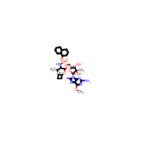 COc1nc(N)nc2c1nc(I)n2[C@@H]1O[C@H](COP(=O)(NC(C(=O)OC2CCC2)C(C)C)Oc2cccc3ccccc23)[C@@H](O)[C@@]1(C)O